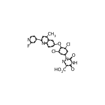 Cc1cc(-c2ccnc(F)c2)nc2ccc(Oc3c(Cl)cc(-n4nc(C(=O)O)c(=O)[nH]c4=O)cc3Cl)cc12